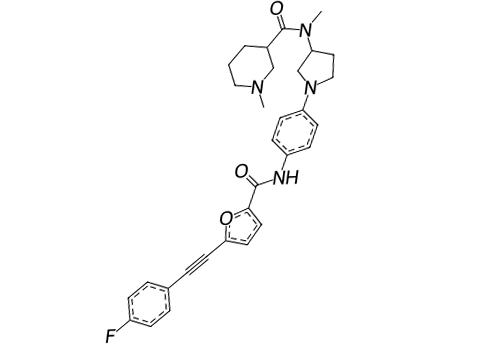 CN1CCCC(C(=O)N(C)C2CCN(c3ccc(NC(=O)c4ccc(C#Cc5ccc(F)cc5)o4)cc3)C2)C1